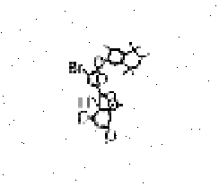 COc1cc(OC)c(NC(=O)c2cc(Br)c(Oc3cc4c(cc3C)C(C)(C)C(C)CC4(C)C)o2)c(OC)c1